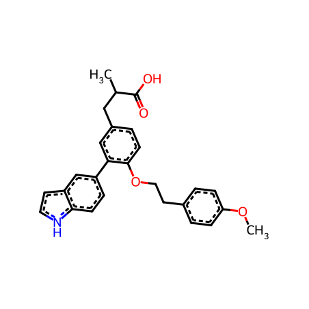 COc1ccc(CCOc2ccc(CC(C)C(=O)O)cc2-c2ccc3[nH]ccc3c2)cc1